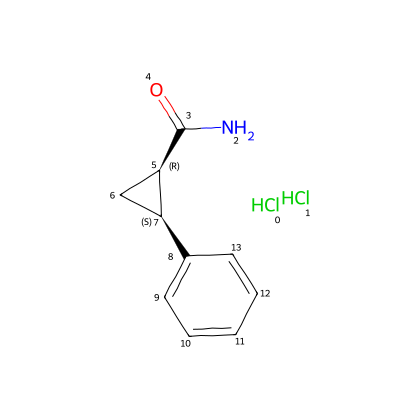 Cl.Cl.NC(=O)[C@@H]1C[C@@H]1c1ccccc1